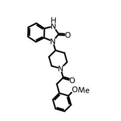 COc1ccccc1CC(=O)N1CCC(n2c(=O)[nH]c3ccccc32)CC1